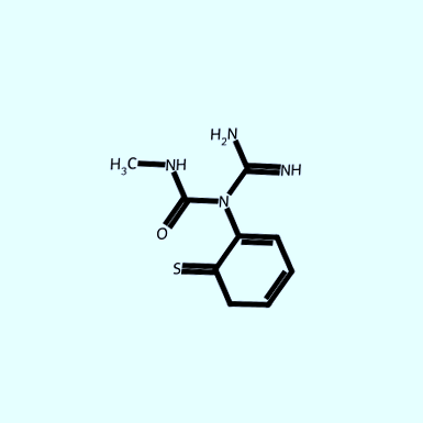 CNC(=O)N(C(=N)N)C1=CC=CCC1=S